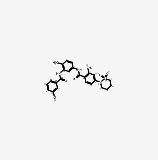 Cc1ccc(NC(=O)c2ccc(N3CCCCS3(=O)=O)cc2C)cc1NC(=O)c1cccc(Cl)c1